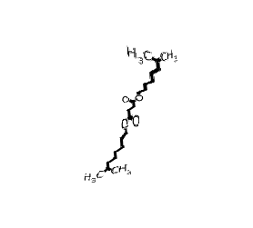 CC(C)CCCCCCOC(=O)CCC(=O)OCCCCCCC(C)C